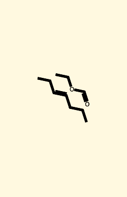 CCC=CCCC.CCOC=O